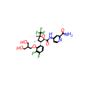 C[C@H]1[C@@H](c2ccc(F)c(F)c2OCC(CO)CO)[C@H](C(=O)Nc2ccnc(C(N)=O)c2)O[C@@]1(C)C(F)(F)F